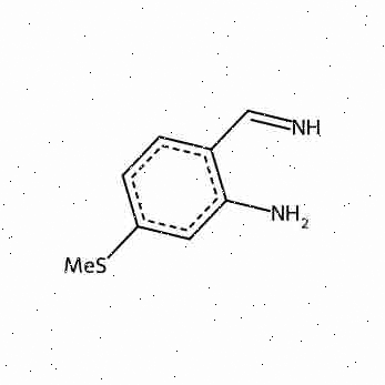 CSc1ccc(C=N)c(N)c1